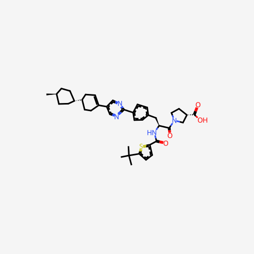 CC(C)(C)c1ccc(C(=O)N[C@@H](Cc2ccc(-c3ncc(C4=CCC([C@H]5CC[C@H](C)CC5)CC4)cn3)cc2)C(=O)N2CC[C@H](C(=O)O)C2)s1